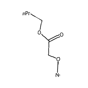 CCCCOC(=O)CO[N]